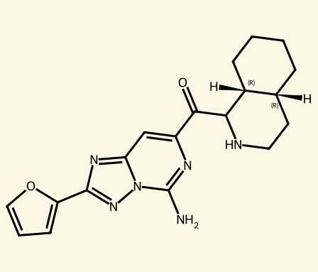 Nc1nc(C(=O)C2NCC[C@H]3CCCC[C@@H]23)cc2nc(-c3ccco3)nn12